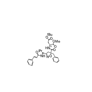 COC(=O)[C@H](CC(=O)OC(C)(C)C)NC(=O)C1(Cc2ccccc2)CC([C@@H](NC(=O)C=Cc2ccccc2)C(C)C)=NO1